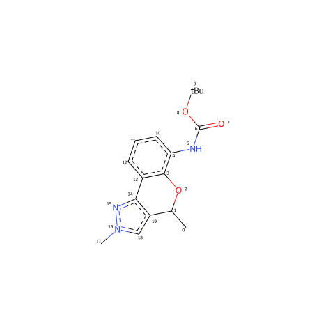 CC1Oc2c(NC(=O)OC(C)(C)C)cccc2-c2nn(C)cc21